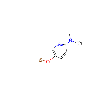 CC(C)N(C)c1ccc(OS)cn1